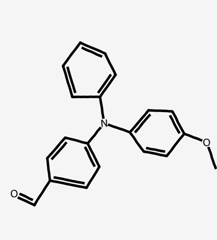 COc1ccc(N(c2ccccc2)c2ccc(C=O)cc2)cc1